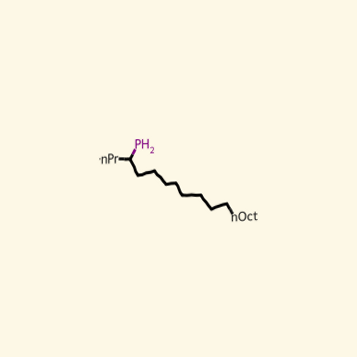 CC[CH]C(P)CCCCCCCCCCCCCCCC